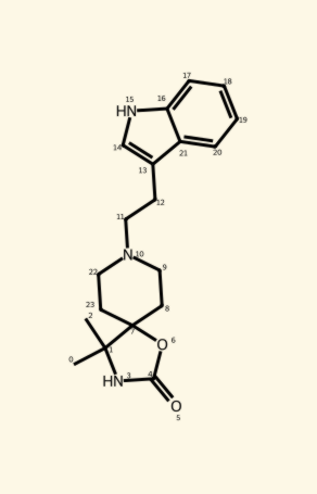 CC1(C)NC(=O)OC12CCN(CCc1c[nH]c3ccccc13)CC2